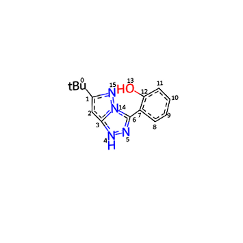 CC(C)(C)c1cc2[nH]nc(-c3ccccc3O)n2n1